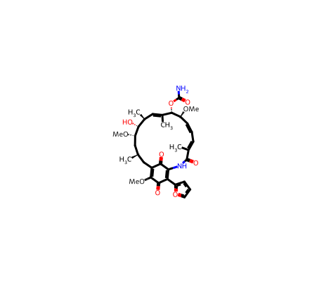 COC1=C2C[C@@H](C)C[C@H](OC)[C@H](O)[C@@H](C)/C=C(\C)[C@H](OC(N)=O)[C@@H](OC)/C=C\C=C(/C)C(=O)NC(=C(c3ccco3)C1=O)C2=O